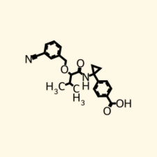 CC(C)C(OCc1cccc(C#N)c1)C(=O)NC1(c2ccc(C(=O)O)cc2)CC1